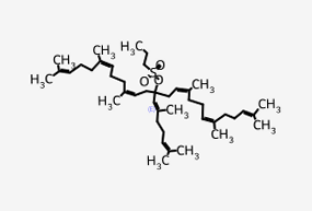 CCCS(=O)(=O)OC(/C=C(\C)CCC=C(C)C)(CC=C(C)CCC=C(C)CCC=C(C)C)CC=C(C)CCC=C(C)CCC=C(C)C